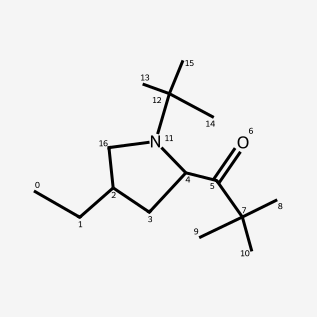 CCC1CC(C(=O)C(C)(C)C)N(C(C)(C)C)C1